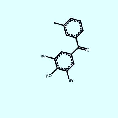 Cc1cccc(C(=O)c2cc(C(C)C)c(O)c(C(C)C)c2)c1